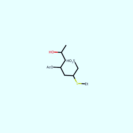 CCSC(CC(CC(C)O)OC(C)=O)CS(=O)(=O)O